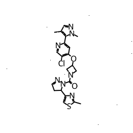 Cc1nc(C2CC=NN2C(=O)N2CC(Oc3cc(-c4c(C)cnn4C)ncc3Cl)C2)cs1